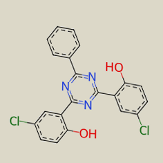 Oc1ccc(Cl)cc1-c1nc(-c2ccccc2)nc(-c2cc(Cl)ccc2O)n1